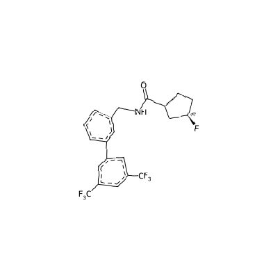 O=C(NCc1cccc(-c2cc(C(F)(F)F)cc(C(F)(F)F)c2)c1)C1CC[C@@H](F)C1